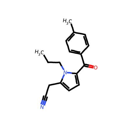 CCCn1c(CC#N)ccc1C(=O)c1ccc(C)cc1